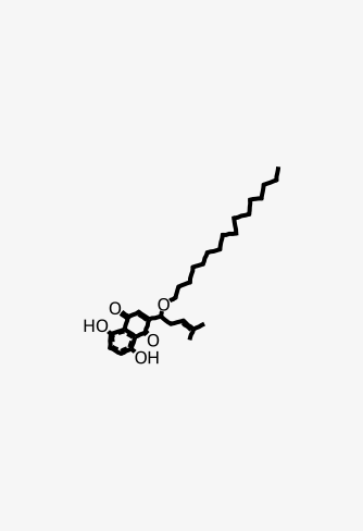 CCCCCCCCCCCCCCCCOC(CC=C(C)C)C1=CC(=O)c2c(O)ccc(O)c2C1=O